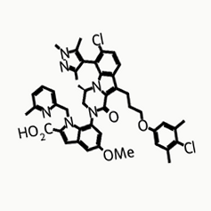 COc1cc(N2C[C@@H](C)n3c(c(CCCOc4cc(C)c(Cl)c(C)c4)c4ccc(Cl)c(-c5c(C)nn(C)c5C)c43)C2=O)c2c(c1)cc(C(=O)O)n2Cc1cccc(C)n1